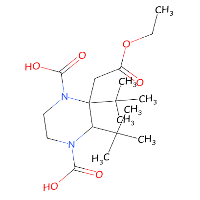 CCOC(=O)CC1(C(C)(C)C)C(C(C)(C)C)N(C(=O)O)CCN1C(=O)O